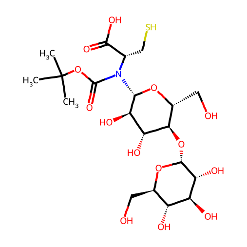 CC(C)(C)OC(=O)N([C@@H]1O[C@H](CO)[C@@H](O[C@H]2O[C@H](CO)[C@@H](O)[C@H](O)[C@H]2O)[C@H](O)[C@H]1O)[C@@H](CS)C(=O)O